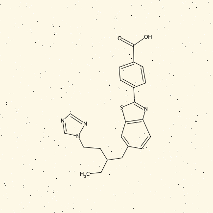 CCC(CCn1cncn1)Cc1ccc2nc(-c3ccc(C(=O)O)cc3)sc2c1